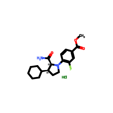 COC(=O)c1ccc(N2CC[C@@H](C3CCCCC3)[C@H]2C(N)=O)c(F)c1.Cl